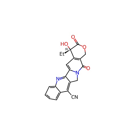 CC[C@@]1(O)C(=O)OCc2c1cc1n(c2=O)Cc2c-1nc1ccccc1c2C#N